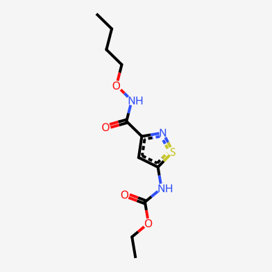 CCCCONC(=O)c1cc(NC(=O)OCC)sn1